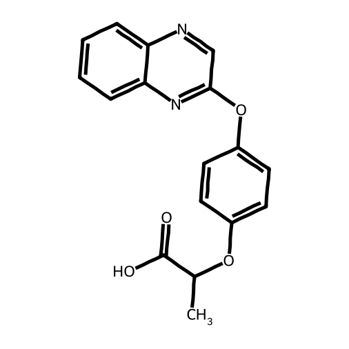 CC(Oc1ccc(Oc2cnc3ccccc3n2)cc1)C(=O)O